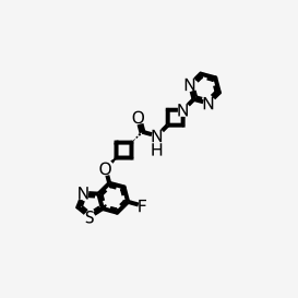 O=C(NC1CN(c2ncccn2)C1)[C@H]1C[C@H](Oc2cc(F)cc3scnc23)C1